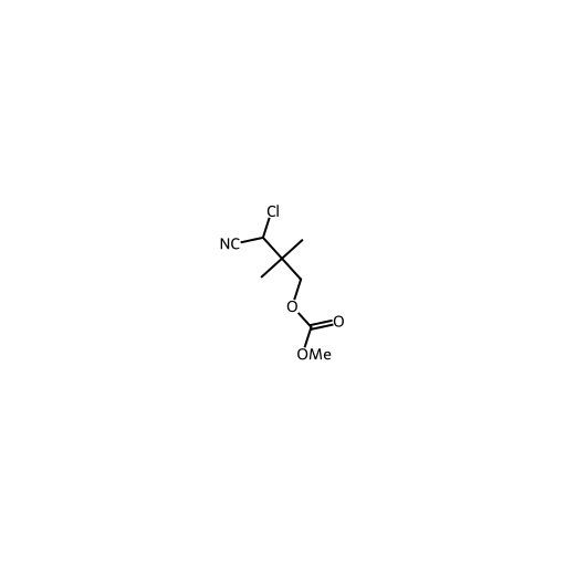 COC(=O)OCC(C)(C)C(Cl)C#N